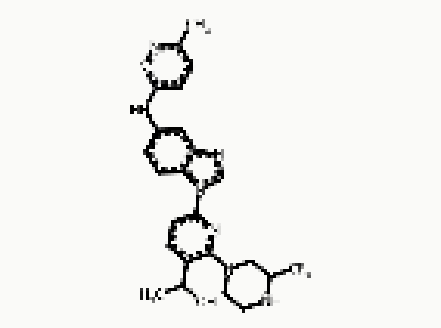 Cc1ccc(Nc2ccc3c(c2)ncn3-c2ccc(C(C)O)c(N3CCNC(C(F)(F)F)C3)n2)nn1